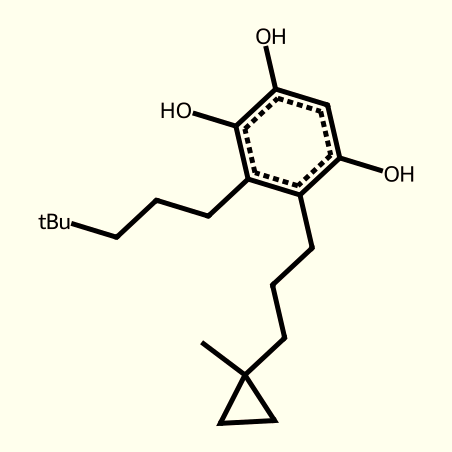 CC(C)(C)CCCc1c(O)c(O)cc(O)c1CCCC1(C)CC1